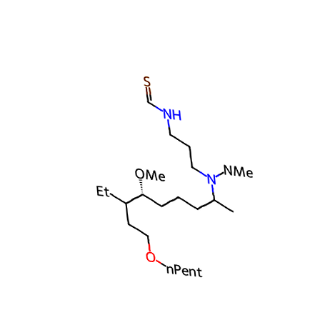 CCCCCOCCC(CC)[C@@H](CCCC(C)N(CCCNC=S)NC)OC